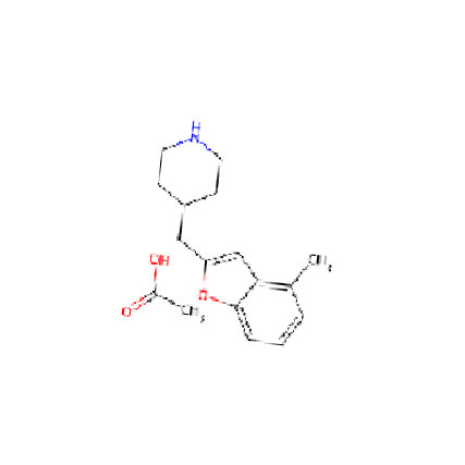 CC(=O)O.Cc1cccc2oc(CC3CCNCC3)cc12